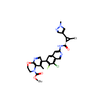 CCC1C(c2cnn(C)c2)[C@H]1C(=O)Nc1cc2cc(-c3cnc4c(c3C)N(C(=O)OC(C)(C)C)CCO4)c(F)c(Cl)c2cn1